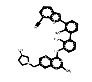 Cc1nc(Nc2cccc(-c3cccc(-c4nc5cccc(C#N)c5o4)c3C)c2C)c2ncc(CN3CC[C@@H](O)C3)cc2n1